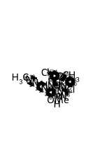 COc1cc(N2CCC(N3CCN(C)CC3)CC2)c(NC(=O)c2cccc(Cl)c2)cc1Nc1ncc(Cl)c(Nc2ccccc2P(C)(C)=O)n1